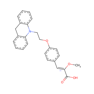 CO/C(=C\c1ccc(OCCN2c3ccccc3Cc3ccccc32)cc1)C(=O)O